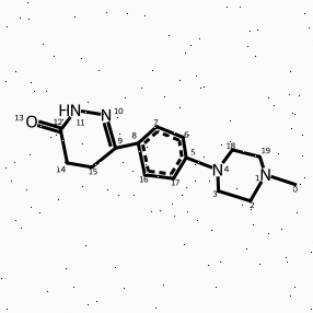 CN1CCN(c2ccc(C3=NNC(=O)CC3)cc2)CC1